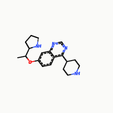 CC(Oc1ccc2c(C3CCNCC3)ncnc2c1)C1CCCN1